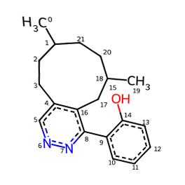 CC1CCc2cnnc(-c3ccccc3O)c2CC(C)CC1